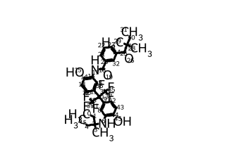 CCC(C)(CC)Nc1cc(C(c2ccc(O)c(NC(=O)c3cccc(C(=O)C(C)(C)CC)c3)c2)(C(F)(F)F)C(F)(F)F)ccc1O